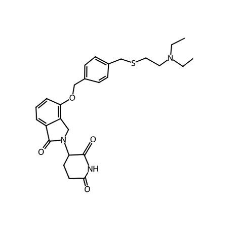 CCN(CC)CCSCc1ccc(COc2cccc3c2CN(C2CCC(=O)NC2=O)C3=O)cc1